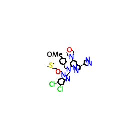 COc1ccc(CN(Cc2nc3cc(Cl)c(Cl)cc3n2COCCS(C)(C)C)c2cc(N3CCOCC3)cc3c(-c4cnn(C)c4)cnn23)cc1